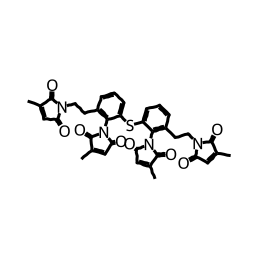 CC1=CC(=O)N(CCc2cccc(Sc3cccc(CCN4C(=O)C=C(C)C4=O)c3N3C(=O)C=C(C)C3=O)c2N2C(=O)C=C(C)C2=O)C1=O